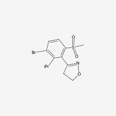 CC(C)c1c(Br)ccc(S(C)(=O)=O)c1C1=NOCC1